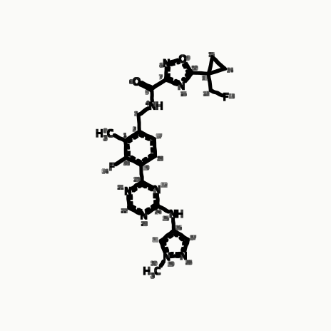 Cc1c(CNC(=O)c2noc(C3(CF)CC3)n2)ccc(-c2ncnc(Nc3cnn(C)c3)n2)c1F